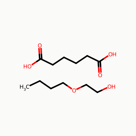 CCCCOCCO.O=C(O)CCCCC(=O)O